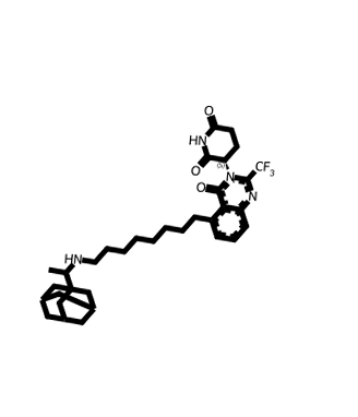 CC(NCCCCCCCCc1cccc2nc(C(F)(F)F)n([C@H]3CCC(=O)NC3=O)c(=O)c12)C12CC3CC(CC(C3)C1)C2